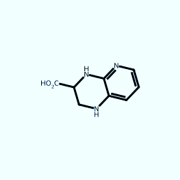 O=C(O)C1CNc2cccnc2N1